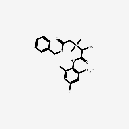 CCCC(C(=O)Nc1c(C)cc(Cl)cc1C(=O)OCC)[N+](C)(C)CC(=O)OCc1ccccc1